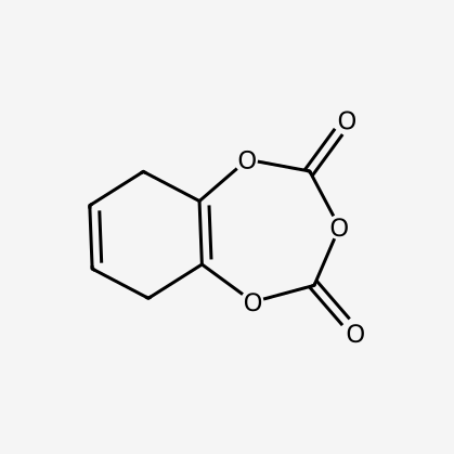 O=C1OC(=O)OC2=C(CC=CC2)O1